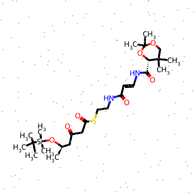 C[C@H](CC(=O)CC(=O)SCCNC(=O)C=CNC(=O)[C@@H]1OC(C)(C)OCC1(C)C)O[Si](C)(C)C(C)(C)C